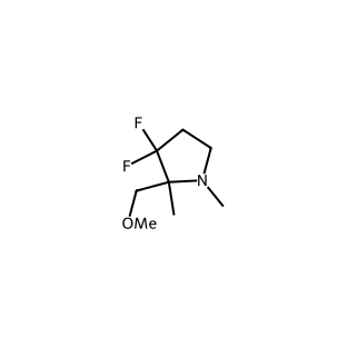 COCC1(C)N(C)CCC1(F)F